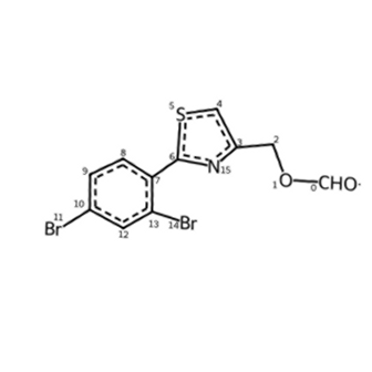 O=[C]OCc1csc(-c2ccc(Br)cc2Br)n1